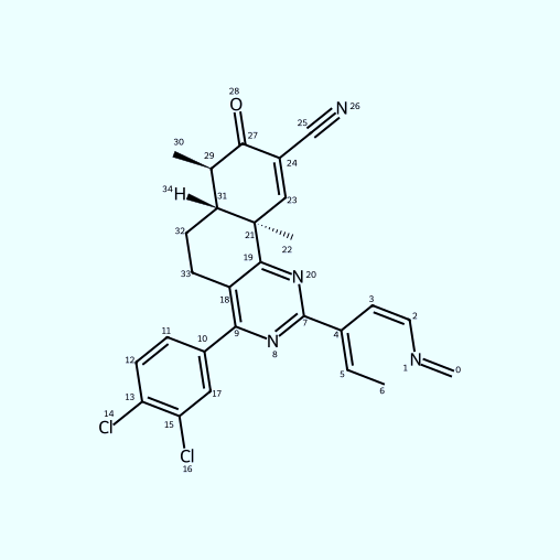 C=N/C=C\C(=C/C)c1nc(-c2ccc(Cl)c(Cl)c2)c2c(n1)[C@]1(C)C=C(C#N)C(=O)[C@H](C)[C@H]1CC2